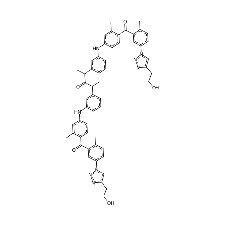 Cc1cc(Nc2cccc(C(C)C(=O)C(C)c3cccc(Nc4ccc(C(=O)c5cc(-n6cc(CCO)nn6)ccc5C)c(C)c4)c3)c2)ccc1C(=O)c1cc(-n2cc(CCO)nn2)ccc1C